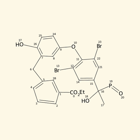 CCOC(=O)c1cccc(Cc2cc(Oc3c(Br)cc(C(C)(O)P=O)cc3Br)ccc2O)c1